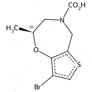 C[C@H]1CN(C(=O)O)Cc2scc(Br)c2O1